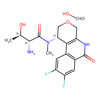 C[C@@H](O)[C@@H](N)C(=O)N(C)[C@@H]1COCc2[nH]c(=O)c3cc(F)c(F)cc3c21.O=CO